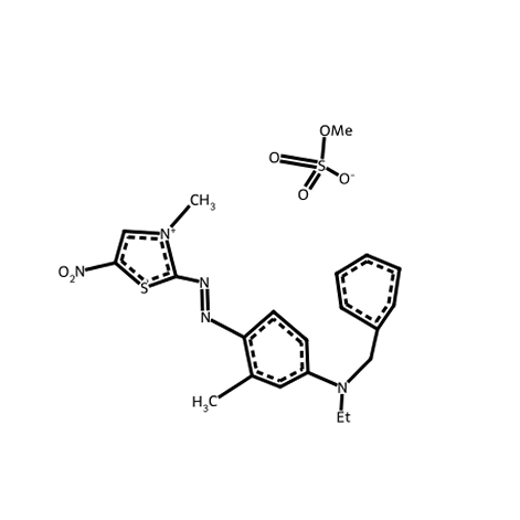 CCN(Cc1ccccc1)c1ccc(N=Nc2sc([N+](=O)[O-])c[n+]2C)c(C)c1.COS(=O)(=O)[O-]